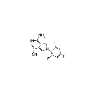 N#CC1=CNC(N)=C2CN(c3c(F)cc(F)cc3F)C=C12